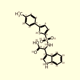 Cc1ccc(-c2ccc(S(=O)(=O)NC(C(=O)O)c3c[nH]c4ccccc34)s2)cc1